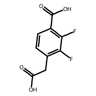 O=C(O)Cc1ccc(C(=O)O)c(F)c1F